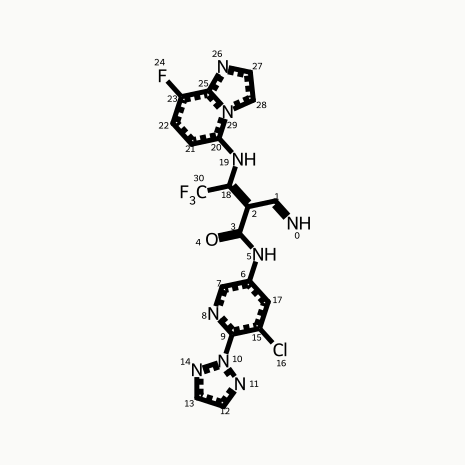 N=C/C(C(=O)Nc1cnc(-n2nccn2)c(Cl)c1)=C(\Nc1ccc(F)c2nccn12)C(F)(F)F